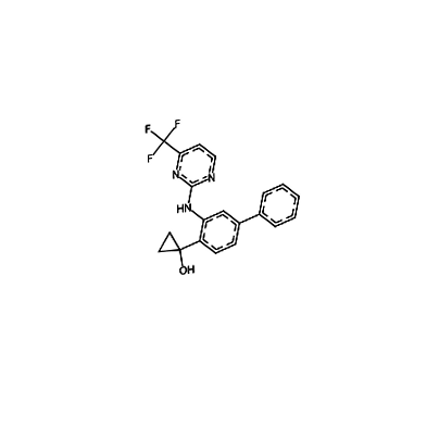 OC1(c2ccc(-c3ccccc3)cc2Nc2nccc(C(F)(F)F)n2)CC1